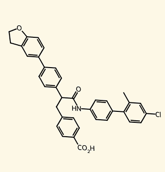 Cc1cc(Cl)ccc1-c1ccc(NC(=O)C(Cc2ccc(C(=O)O)cc2)c2ccc(-c3ccc4c(c3)CCO4)cc2)cc1